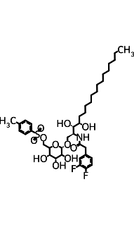 CCCCCCCCCCCCCC[C@@H](O)[C@@H](O)[C@H](CO[C@H]1OC(COS(=O)(=O)c2ccc(C)cc2)[C@H](O)[C@H](O)C1O)NC(=O)Cc1ccc(F)c(F)c1